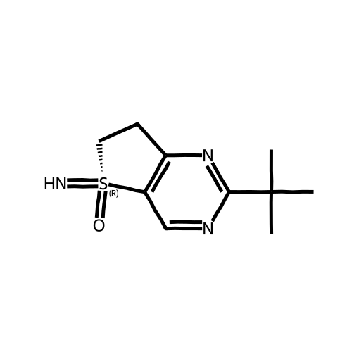 CC(C)(C)c1ncc2c(n1)CC[S@@]2(=N)=O